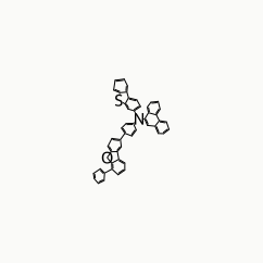 c1ccc(-c2cccc3c2oc2ccc(-c4ccc(N(c5ccc6c(c5)sc5ccccc56)c5cc6ccccc6c6ccccc56)cc4)cc23)cc1